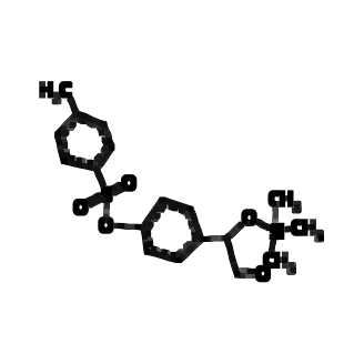 Cc1ccc(S(=O)(=O)Oc2ccc(C(C=O)O[Si](C)(C)C)cc2)cc1